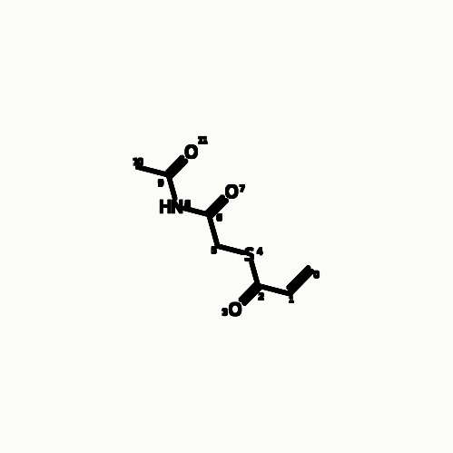 C=CC(=O)SCC(=O)NC(C)=O